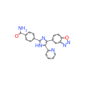 NC(=O)c1ccc(-c2nc(-c3ccc4onnc4c3)c(-c3ccccn3)[nH]2)cc1